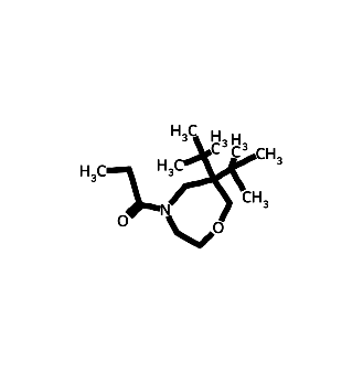 CCC(=O)N1CCOCC(C(C)(C)C)(C(C)(C)C)C1